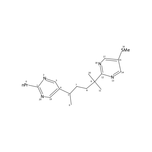 CCCc1ncc(C(C)CCC(C)(C)c2ncc(SC)cn2)cn1